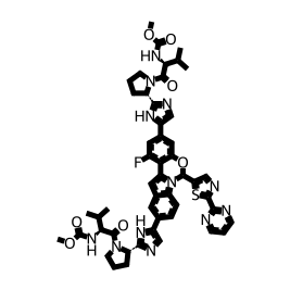 COC(=O)N[C@H](C(=O)N1CCC[C@H]1c1ncc(-c2cc(F)c3c(c2)OC(c2cnc(-c4ncccn4)s2)n2c-3cc3cc(-c4cnc([C@@H]5CCCN5C(=O)[C@@H](NC(=O)OC)C(C)C)[nH]4)ccc32)[nH]1)C(C)C